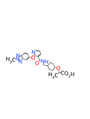 C[C@@H](OC1CCC(CNC(=O)c2cccnc2Oc2ccc3nn(C)nc3c2)CC1)C(=O)O